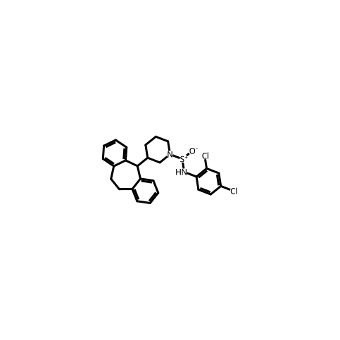 [O-][S+](Nc1ccc(Cl)cc1Cl)N1CCCC(C2c3ccccc3CCc3ccccc32)C1